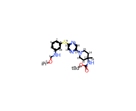 CC(C)OCNc1cccc(Sc2cnc(N3CCC(C)(NC(=O)OC(C)(C)C)CC3)cn2)c1